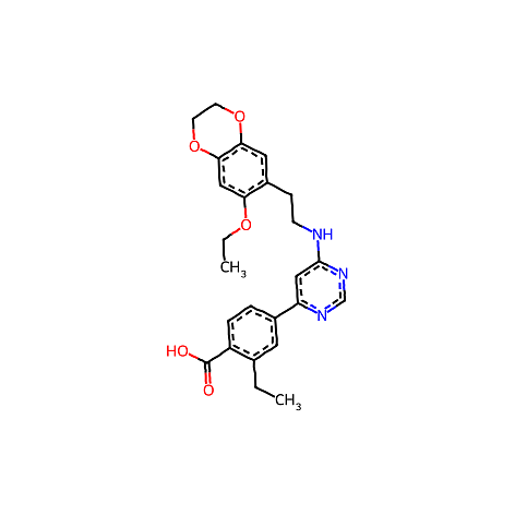 CCOc1cc2c(cc1CCNc1cc(-c3ccc(C(=O)O)c(CC)c3)ncn1)OCCO2